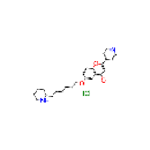 Cl.O=c1cc(-c2ccncc2)oc2ccc(OCCCCCCC3CCCCN3)cc12